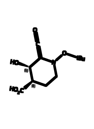 CC(C)(C)ON1CC[C@@H](C(=O)O)[C@H](O)C1=C=O